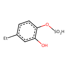 CCc1ccc(OS(=O)(=O)O)c(O)c1